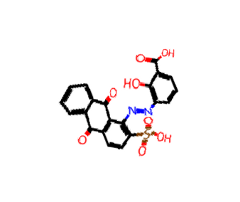 O=C(O)c1cccc(/N=N/c2c(S(=O)(=O)O)ccc3c2C(=O)c2ccccc2C3=O)c1O